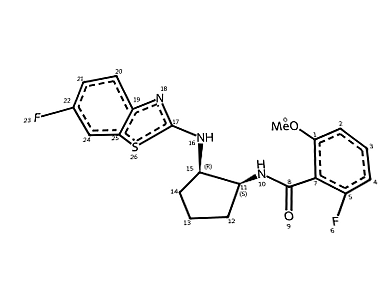 COc1cccc(F)c1C(=O)N[C@H]1CCC[C@H]1Nc1nc2ccc(F)cc2s1